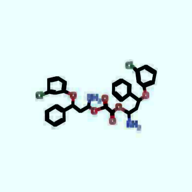 NC(CC(Oc1cccc(Cl)c1)c1ccccc1)OC(=O)C(=O)OC(N)CC(Oc1cccc(Cl)c1)c1ccccc1